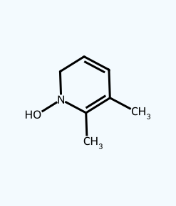 CC1=C(C)N(O)CC=C1